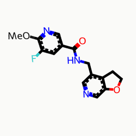 COc1ncc(C(=O)NCc2cncc3c2CCO3)cc1F